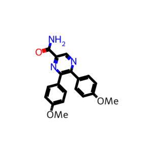 COc1ccc(-c2ncc(C(N)=O)nc2-c2ccc(OC)cc2)cc1